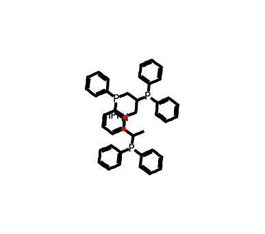 C[CH]CN(CC(C)P(c1ccccc1)c1ccccc1)CC(CP(c1ccccc1)c1ccccc1)P(c1ccccc1)c1ccccc1